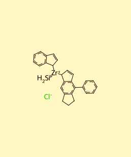 [Cl-].[SiH2]=[Zr+]([CH]1C=Cc2ccccc21)[CH]1C=Cc2c1cc1c(c2-c2ccccc2)CCC1